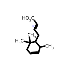 CC1C=CCC(C)(C)C1C/C=C/C(=O)O